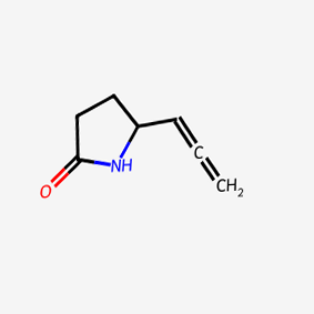 C=C=CC1CCC(=O)N1